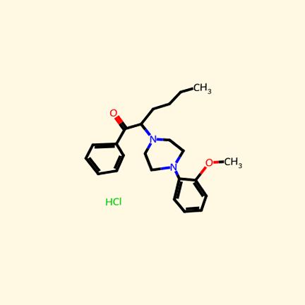 CCCCC(C(=O)c1ccccc1)N1CCN(c2ccccc2OC)CC1.Cl